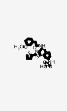 COc1cccc(CC(=O)N[C@@H](Cc2ccc(NS(=O)(=O)O)cc2)c2csc(-c3cccs3)n2)c1